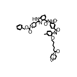 COc1cc(C(=O)N(C)c2ccc(C)cc2OCCCCCC(=O)N2CCN(C)CC2)ccc1NC(=O)c1cccc2[nH]c(C3CCN(C(=O)OCc4ccccc4)CC3)nc12